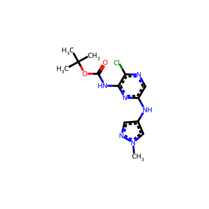 Cn1cc(Nc2cnc(Cl)c(NC(=O)OC(C)(C)C)n2)cn1